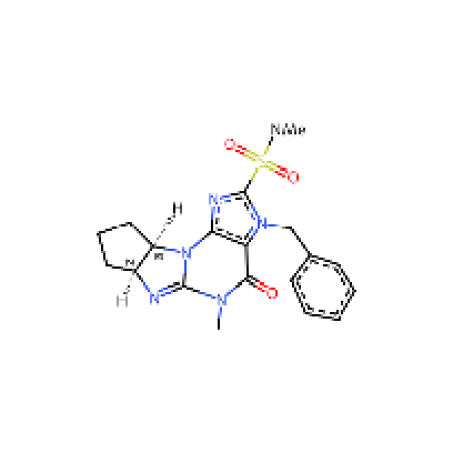 CNS(=O)(=O)c1nc2c(n1Cc1ccccc1)C(=O)N(C)C1=N[C@H]3CCC[C@H]3N12